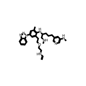 C=CNCCOCCc1cc(-n2nnc3ccccc32)cc(C)c1NC(CCCc1cncc(NC)c1)CNC